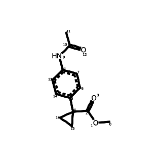 COC(=O)C1(c2ccc(NC(C)=O)cc2)CC1